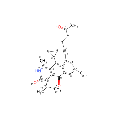 CC(=O)CCC#Cc1cc(C)cc(C(=O)c2c(CC3CC3)c(C)[nH]c(=O)c2C(C)C)c1